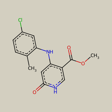 COC(=O)c1c[nH]c(=O)cc1Nc1cc(Cl)ccc1C